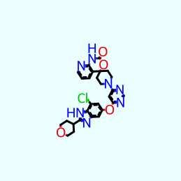 O=C1Nc2ncccc2C2(CCN(c3cc(Oc4cc(Cl)c5[nH]c(C6CCOCC6)nc5c4)ncn3)CC2)O1